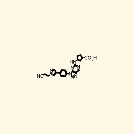 N#CCCn1cc(-c2ccc(-n3nnc4cnc(N[C@@H]5CC[C@@H](C(=O)O)C5)nc43)cc2)cn1